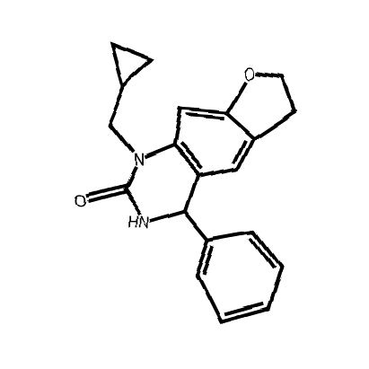 O=C1NC(c2ccccc2)c2cc3c(cc2N1CC1CC1)OCC3